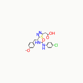 COc1ccc(C[C@H](NC(=O)Nc2ccc(Cl)cc2)c2nnc(CC(=O)O)s2)cc1